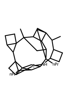 CCCC1C2C3CC24C2CNC5CCC5C(C)C56CC7C5C(CC7(C)C57CCC5C7C14C2)C3(CCC)C6